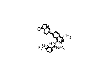 Cc1c([C@@H](N)Nc2nnc(C)c3ccc(N4CCN5C(=O)CC[C@@H]5C4)cc23)cccc1C(F)(F)F